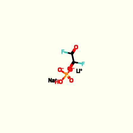 O=C(F)C(=O)F.O=P([O-])([O-])O.[Li+].[Na+]